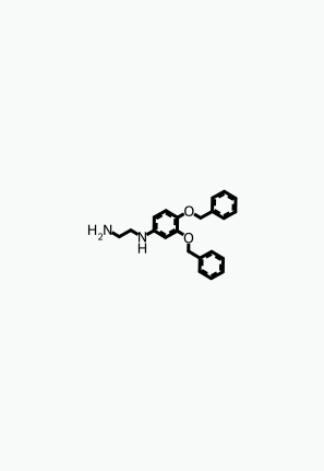 NCCNc1ccc(OCc2ccccc2)c(OCc2ccccc2)c1